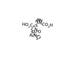 CC(=O)N(c1cccs1)C1C(=O)N2CC(CSc3nnnn3CC(=O)O)(C(=O)O)CS[C@H]12